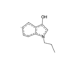 CCCn1cc(O)c2c[c]ccc21